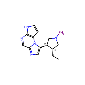 CC[C@@H]1CN(P)C[C@@H]1c1cnc2cnc3[nH]ccc3n12